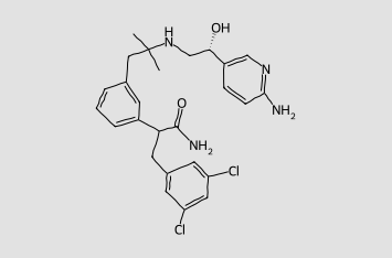 CC(C)(Cc1cccc(C(Cc2cc(Cl)cc(Cl)c2)C(N)=O)c1)NC[C@H](O)c1ccc(N)nc1